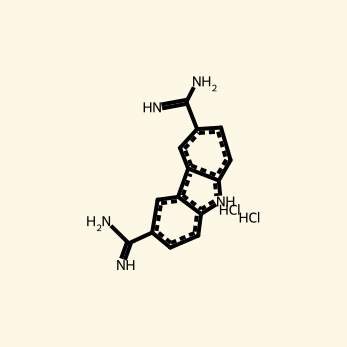 Cl.Cl.N=C(N)c1ccc2[nH]c3ccc(C(=N)N)cc3c2c1